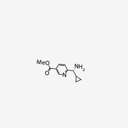 COC(=O)c1ccc([C@H](N)C2CC2)nc1